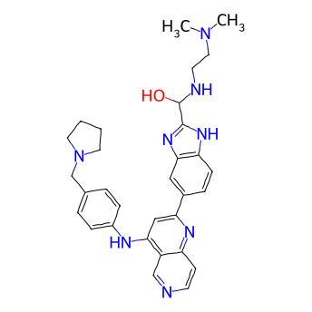 CN(C)CCNC(O)c1nc2cc(-c3cc(Nc4ccc(CN5CCCC5)cc4)c4cnccc4n3)ccc2[nH]1